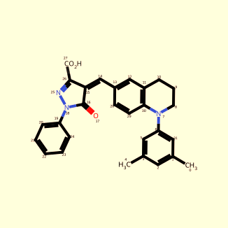 Cc1cc(C)cc(N2CCCc3cc(/C=C4\C(=O)N(c5ccccc5)N=C4C(=O)O)ccc32)c1